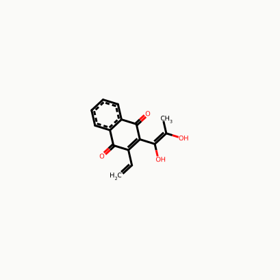 C=CC1=C(/C(O)=C(\C)O)C(=O)c2ccccc2C1=O